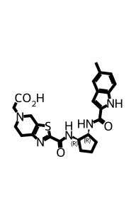 Cc1ccc2[nH]c(C(=O)N[C@@H]3CCC[C@H]3NC(=O)c3nc4c(s3)CN(CC(=O)O)CC4)cc2c1